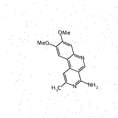 COc1cc2ncc3c(N)nc(C)cc3c2cc1OC